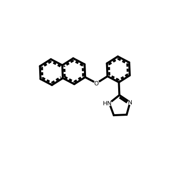 c1ccc(C2=NCCN2)c(Oc2ccc3ccccc3c2)c1